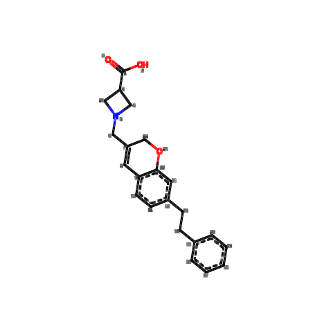 O=C(O)C1CN(CC2=Cc3ccc(CCc4ccccc4)cc3OC2)C1